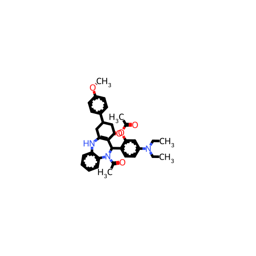 CCN(CC)c1ccc(C2C3=C(CC(c4ccc(OC)cc4)CC3=O)Nc3ccccc3N2C(C)=O)c(OC(C)=O)c1